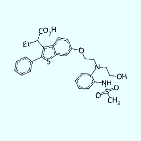 CCC(C(=O)O)c1c(-c2ccccc2)sc2cc(OCCN(CCO)c3ccccc3NS(C)(=O)=O)ccc12